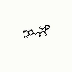 O=C1c2ccccc2C(=O)N1NCCc1ccc(O)c(O)c1